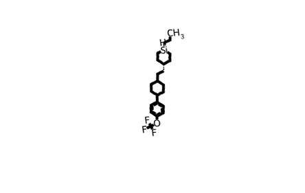 CCC[Si@H]1CC[C@H](CCC2CCC(c3ccc(OC(F)(F)F)cc3)CC2)CC1